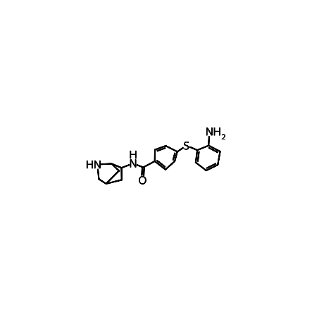 Nc1ccccc1Sc1ccc(C(=O)NC2CC3CNC2C3)cc1